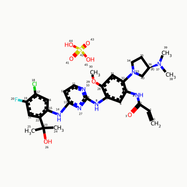 C=CC(=O)Nc1cc(Nc2nccc(Nc3cc(Cl)c(F)cc3C(C)(C)O)n2)c(OC)cc1N1CC[C@@H](N(C)C)C1.O=S(=O)(O)O